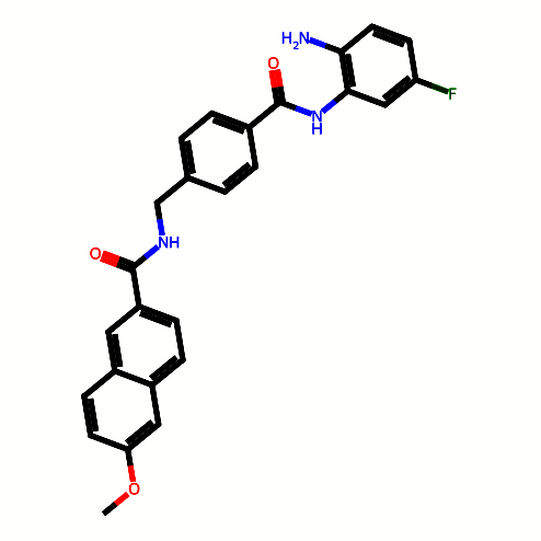 COc1ccc2cc(C(=O)NCc3ccc(C(=O)Nc4cc(F)ccc4N)cc3)ccc2c1